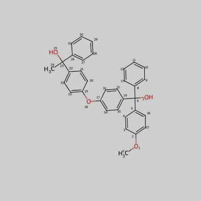 COc1ccc(C(O)(c2ccccc2)c2ccc(Oc3ccc(C(C)(O)c4ccccc4)cc3)cc2)cc1